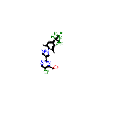 Cc1cc(C(F)(C(F)(F)F)C(F)(F)F)cc(C)c1-n1cc(-c2ncc(Cl)c(C=O)n2)cn1